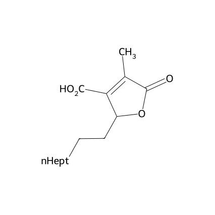 CCCCCCCCCC1OC(=O)C(C)=C1C(=O)O